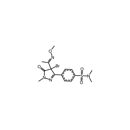 CO/N=C(\C)C1(Br)C(=O)N(C)N=C1c1ccc(S(=O)(=O)N(C)C)cc1